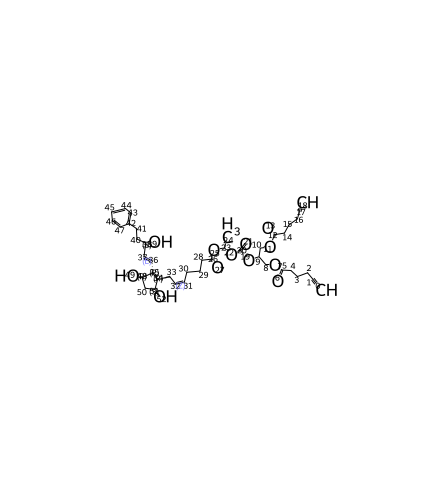 C#CCCCC(=O)OCC(COC(=O)CCCC#C)OC(=O)OC(C)OC(=O)CCC/C=C\C[C@@H]1[C@@H](/C=C/[C@@H](O)CCc2ccccc2)[C@H](O)C[C@@H]1O